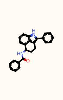 O=C(NC1CCc2c(-c3ccccc3)[nH]c3cccc1c23)c1ccccc1